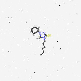 CCCCCCn1c(S)n[n+](-c2ccccc2)c1C